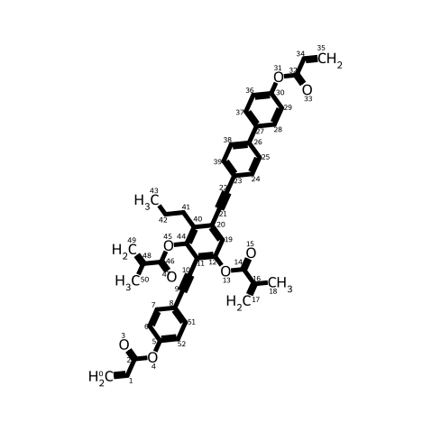 C=CC(=O)Oc1ccc(C#Cc2c(OC(=O)C(=C)C)cc(C#Cc3ccc(-c4ccc(OC(=O)C=C)cc4)cc3)c(CCC)c2OC(=O)C(=C)C)cc1